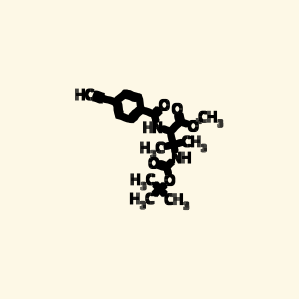 C#Cc1ccc(C(=O)NC(C(=O)OC)C(C)(C)NC(=O)OC(C)(C)C)cc1